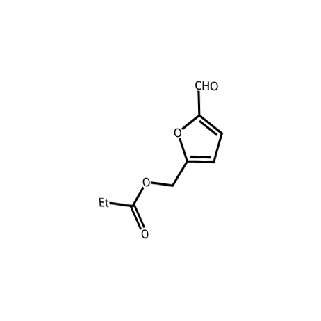 CCC(=O)OCc1ccc(C=O)o1